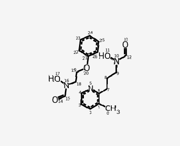 Cc1cccnc1CCCN(O)C=O.O=CN(O)CCOc1ccccc1